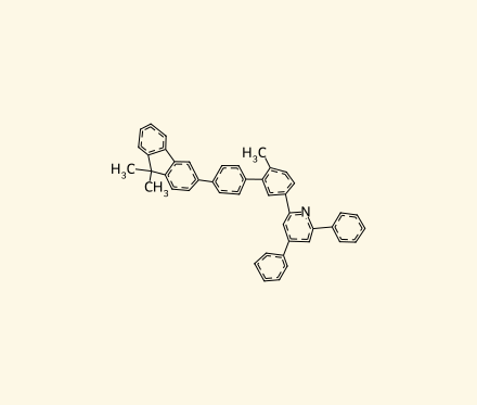 Cc1ccc(-c2cc(-c3ccccc3)cc(-c3ccccc3)n2)cc1-c1ccc(-c2ccc3c(c2)-c2ccccc2C3(C)C)cc1